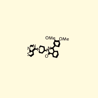 COc1ccc(C2=NN(C3CCN(c4ncnc5sccc45)CC3)C(=O)C3CC=CCC23)cc1OC